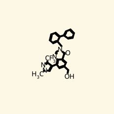 Cn1cc(-c2cc(CO)cc3c(=O)n(Cc4ccccc4-c4ccccc4)cnc23)c(C(F)(F)F)n1